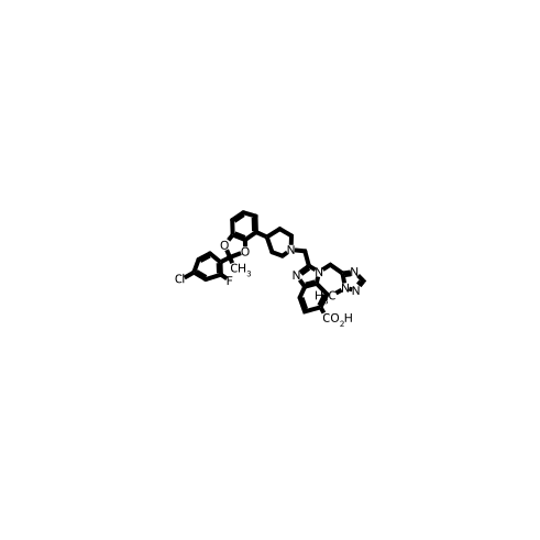 Cn1ncnc1Cn1c(CN2CCC(c3cccc4c3OC(C)(c3ccc(Cl)cc3F)O4)CC2)nc2ccc(C(=O)O)cc21